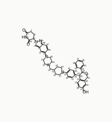 O=C1CCC(n2cc3cc(N4CCN(CC5CCN(c6ccc([C@@H]7c8ccc(O)cc8CO[C@@H]7c7ccccc7)cc6)CC5)CC4)ccc3n2)C(=O)N1